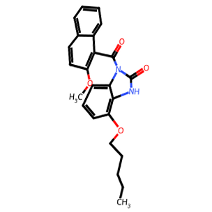 CCCCCOc1cccc2c1[nH]c(=O)n2C(=O)c1c(OC)ccc2ccccc12